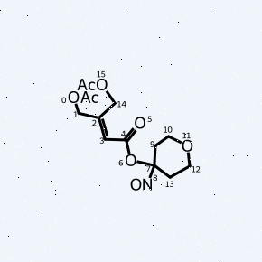 CC(=O)OCC(=CC(=O)OC1(N=O)CCOCC1)COC(C)=O